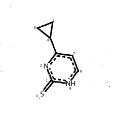 S=c1nc(C2CC2)cc[nH]1